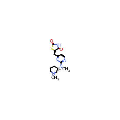 CN1CCC[C@H](N(C)c2nccc(C=C3SC(=O)NC3=O)n2)C1